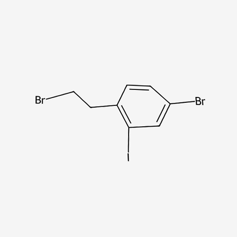 BrCCc1ccc(Br)cc1I